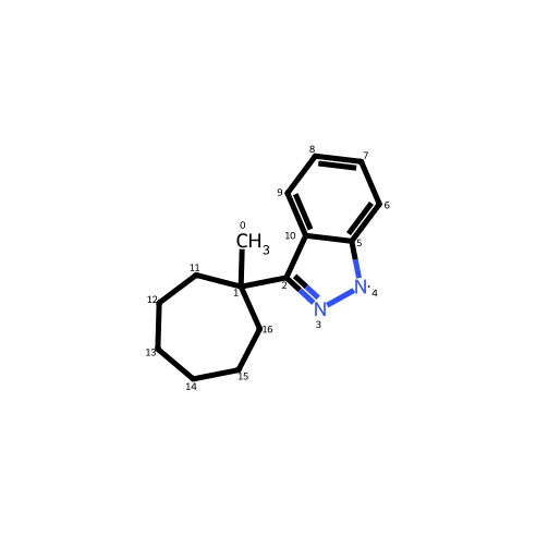 CC1(C2=N[N]c3ccccc32)CCCCCC1